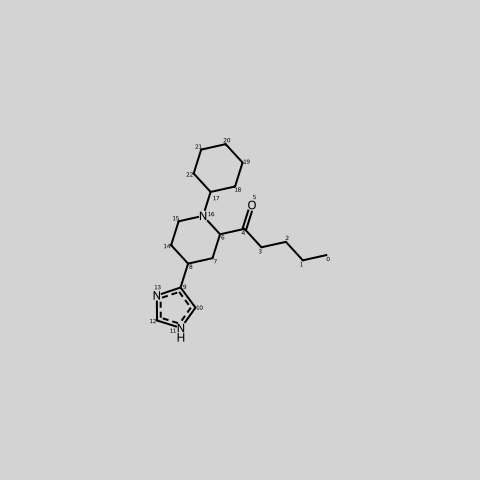 CCCCC(=O)C1CC(c2c[nH]cn2)CCN1C1CCCCC1